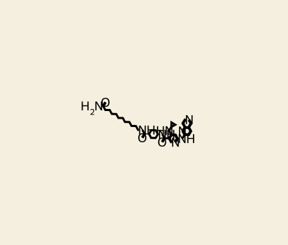 NC(=O)CCCCCCCCCCCNC(=O)[C@H]1CC[C@H](NC(=O)c2cnc(Nc3ccc4cnccc4n3)cc2NC2CC2)CC1